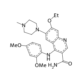 CCOc1cc2ncc(C(N)=O)c(Nc3ccc(OC)cc3OC)c2cc1N1CCN(C)CC1